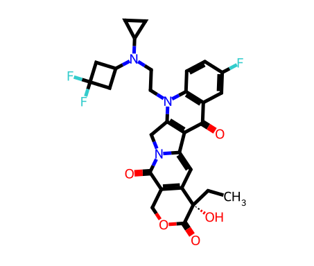 CC[C@@]1(O)C(=O)OCc2c1cc1n(c2=O)Cc2c-1c(=O)c1cc(F)ccc1n2CCN(C1CC1)C1CC(F)(F)C1